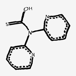 OC(=S)N(c1ccccn1)c1ccccn1